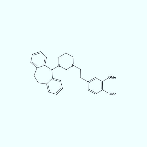 COc1ccc(CCN2CCCN(C3c4ccccc4CCc4ccccc43)C2)cc1OC